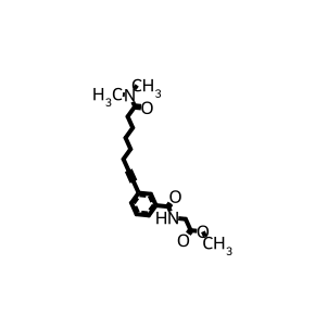 COC(=O)CNC(=O)c1cccc(C#CCCCCCC(=O)N(C)C)c1